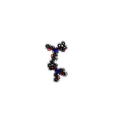 c1ccc2c(c1)-c1ccccc1C1(c3ccccc3-2)c2ccccc2-c2cc(-c3nc(-c4ccc5c(c4)oc4ccccc45)nc(-c4ccc5c(c4)oc4cc(-c6ccc7c(c6)-c6ccccc6C6(c8ccccc8-7)c7ccccc7-c7cc(-c8nc(-c9ccc%10c(c9)oc9ccccc9%10)nc(-c9cccc%10c9oc9ccccc9%10)n8)ccc76)ccc45)n3)ccc21